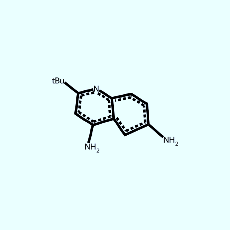 CC(C)(C)c1cc(N)c2cc(N)ccc2n1